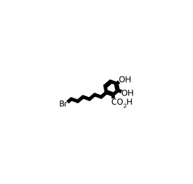 O=C(O)c1c(CCCCCCBr)ccc(O)c1O